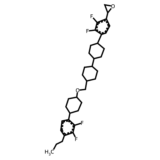 CCCc1ccc(C2CCC(OCC3CCC(C4CCC(c5ccc(C6CO6)c(F)c5F)CC4)CC3)CC2)c(F)c1F